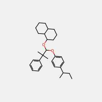 CCC(C)c1ccc(OC(OC2CCCC3CCCCC32)C(C)(C)c2ccccc2)cc1